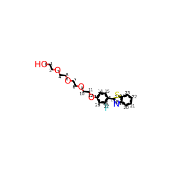 OCCOCCOCCOCCOc1ccc(-c2nc3ccccc3s2)c(F)c1